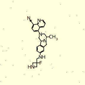 CC1CN(c2ccc(C#N)c3ncccc23)CC2c3ccc(NCC4(F)CNC4)cc3CN12